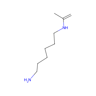 C=C(C)NCCCCCCN